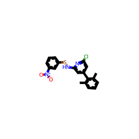 Cc1cccc(C)c1-c1cc(Cl)nc(NSc2cccc([N+](=O)[O-])c2)c1